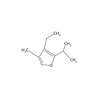 CCc1c(C)coc1C(C)C